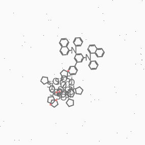 c1ccc(N(c2cc(-c3ccc([Si]45O[Si]6(C7CCCC7)O[Si]7(C8CCCC8)O[Si](C8CCCC8)(O4)O[Si]4(C8CCCC8)O[Si](C8CCCC8)(O5)O[Si](C5CCCC5)(O6)O[Si](C5CCCC5)(O7)O4)cc3)cc(N(c3ccccc3)c3cccc4ccccc34)c2)c2cccc3ccccc23)cc1